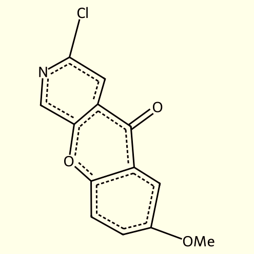 COc1ccc2oc3cnc(Cl)cc3c(=O)c2c1